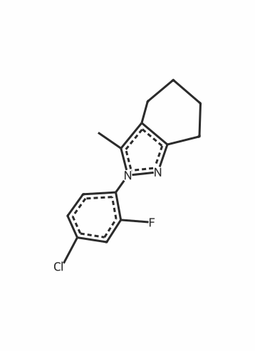 Cc1c2c(nn1-c1ccc(Cl)cc1F)CCCC2